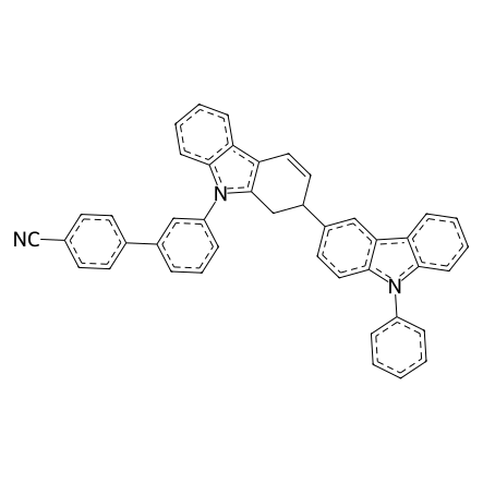 N#Cc1ccc(-c2cccc(-n3c4c(c5ccccc53)C=CC(c3ccc5c(c3)c3ccccc3n5-c3ccccc3)C4)c2)cc1